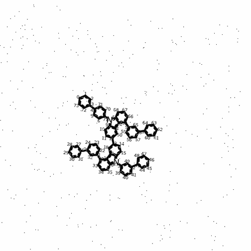 c1ccc(-c2ccc(-n3c4ccc(-c5ccc6c(c5)c5c(-c7cccc(-c8ccccc8)c7)cccc5n6-c5cccc(-c6ccccc6)c5)cc4c4c(-c5cccc(-c6ccccc6)c5)cccc43)cc2)cc1